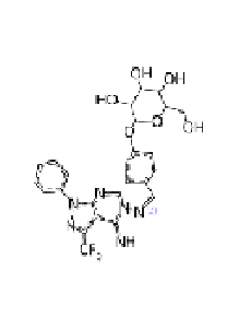 N=c1c2c(C(F)(F)F)nn(-c3ccccc3)c2ncn1/N=C\c1ccc(OC2OC(CO)C(O)C(O)C2O)cc1